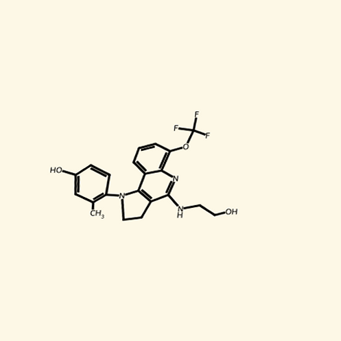 Cc1cc(O)ccc1N1CCc2c(NCCO)nc3c(OC(F)(F)F)cccc3c21